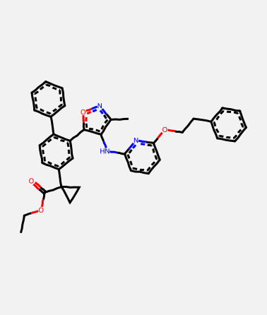 CCOC(=O)C1(c2ccc(-c3ccccc3)c(-c3onc(C)c3Nc3cccc(OCCc4ccccc4)n3)c2)CC1